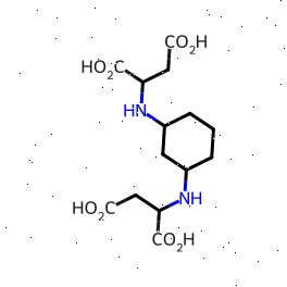 O=C(O)CC(NC1CCCC(NC(CC(=O)O)C(=O)O)C1)C(=O)O